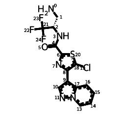 NC[C@H](NC(=O)c1nc(-c2cnn3ccccc23)c(Cl)s1)C(F)(F)F